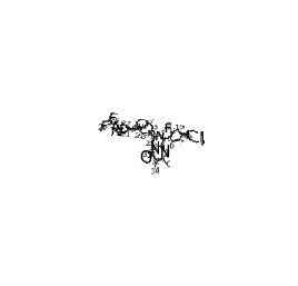 Cc1nc2c(-c3ccc(Cl)cc3F)nc([C@@H]3CCO[C@H](c4cnn(C(F)F)c4)C3)cn2c(=O)c1C